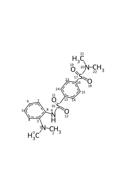 CN(C)c1ccccc1NS(=O)(=O)c1ccc(S(=O)(=O)N(C)C)cc1